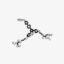 C=C(CO)C(=O)OCCCOc1ccc(-c2cc(C3CCC(C4CCC(CCCCC)CC4)CC3)cc(-c3ccc(OCCCOC(=O)C(=C)CO)cc3)c2OCC)cc1